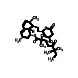 CCC(C)(C)C(=O)CCC(C)(C)C(=O)O[C@@H]1C[C@H](C)C=C2C=C[C@@H](C)[C@@H](CC[C@@H]3C[C@H](O)CC(=O)O3)[C@@H]21